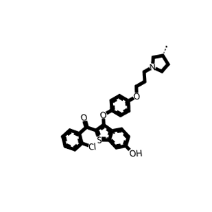 C[C@@H]1CCN(CCCOc2ccc(Oc3c(C(=O)c4ccccc4Cl)sc4cc(O)ccc34)cc2)C1